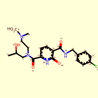 CC(O)CN(CCN(C)C(=O)O)C(=O)c1ccc(C(=O)NCc2ccc(Cl)cc2)c(=O)[nH]1